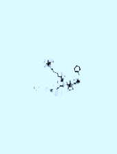 CNC(=N)NCCC[C@@H](NC(=O)[C@H](N)CCCCNC(=O)OC(C)(C)C)C(=O)N[C@@H](CC(C)C)C(=O)OCc1ccccc1